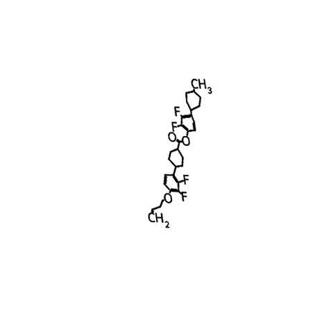 C=CCCOc1ccc(C2CCC(C(=O)Oc3ccc(C4CCC(C)CC4)c(F)c3F)CC2)c(F)c1F